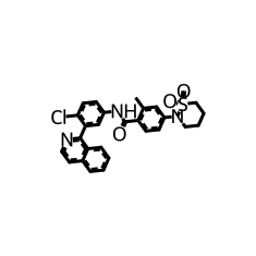 Cc1cc(N2CCCCS2(=O)=O)ccc1C(=O)Nc1ccc(Cl)c(-c2nccc3ccccc23)c1